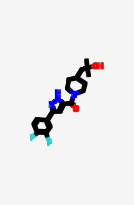 CC(C)(O)CC1CCN(C(=O)c2cc(-c3ccc(F)c(F)c3)n[nH]2)CC1